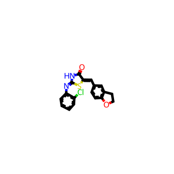 O=C1N/C(=N/c2ccccc2Cl)S/C1=C\c1ccc2c(c1)CCO2